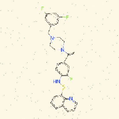 C=C(c1ccc(NSc2cccc3cccnc23)c(F)c1)N1CCN(Cc2cc(F)cc(F)c2)CC1